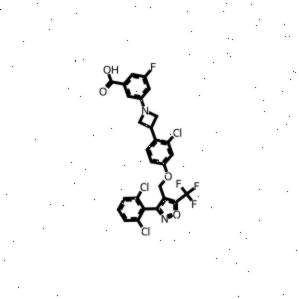 O=C(O)c1cc(F)cc(N2CC(c3ccc(OCc4c(-c5c(Cl)cccc5Cl)noc4C(F)(F)F)cc3Cl)C2)c1